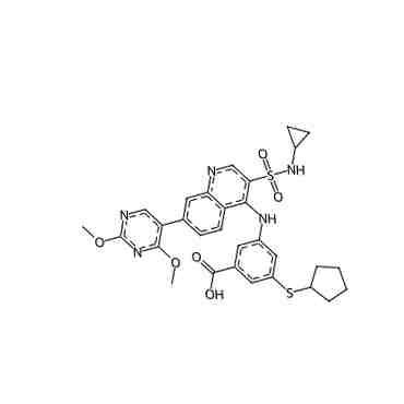 COc1ncc(-c2ccc3c(Nc4cc(SC5CCCC5)cc(C(=O)O)c4)c(S(=O)(=O)NC4CC4)cnc3c2)c(OC)n1